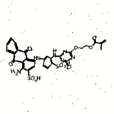 C=C(C)C(=O)OCCOc1nc(Cl)nc(Nc2cc(Nc3cc(S(=O)(=O)O)c(N)c4c3C(=O)c3ccccc3C4=O)ccc2S(=O)(=O)O)n1